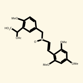 COc1cc(OC)c(/C=C/[S+]([O-])Cc2ccc(OC)c(C(OC(C)=O)C(=O)O)c2)c(OC)c1